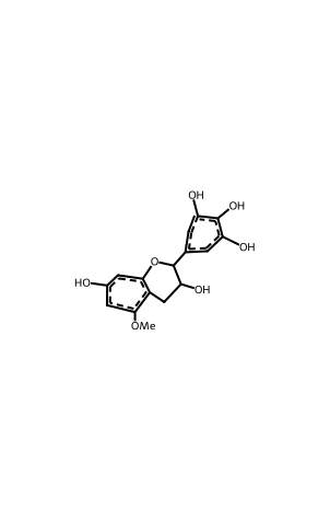 COc1cc(O)cc2c1CC(O)C(c1cc(O)c(O)c(O)c1)O2